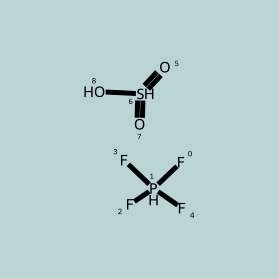 F[PH](F)(F)F.O=[SH](=O)O